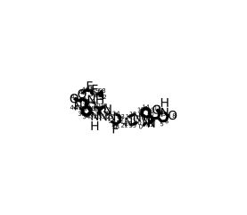 Cn1nc(C2CCC(=O)NC2=O)c2cccc(N3CCN(C[C@H]4CCN(c5ncc(Cl)c(Nc6ccc7c(c6)c6c(c(=O)n7C)OCC(F)(F)[C@H](C7CC7)N6)n5)C[C@@H]4F)CC3)c21